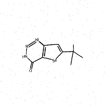 CC(C)(C)c1cc2nn[nH]c(=O)c2[se]1